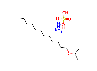 CCCCCCCCCCCCOC(C)C.N.N.O=S(=O)(O)O